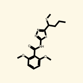 CCCC(SC)c1nnc(NC(=O)c2c(OC)cccc2OC)s1